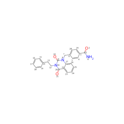 NC(=O)c1ccc(Cn2c(=O)n(CCc3ccccc3)c(=O)c3ccccc32)cc1